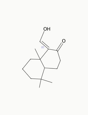 CC1(C)CCCC2(C)/C(=C/O)C(=O)CCC12